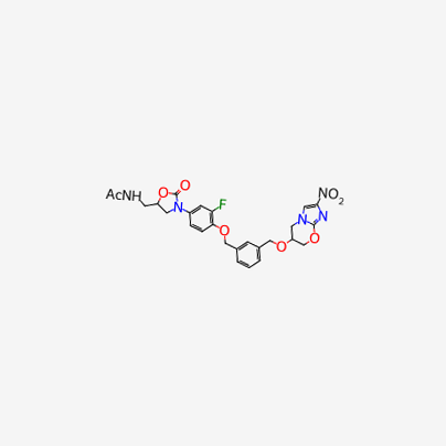 CC(=O)NCC1CN(c2ccc(OCc3cccc(COC4COc5nc([N+](=O)[O-])cn5C4)c3)c(F)c2)C(=O)O1